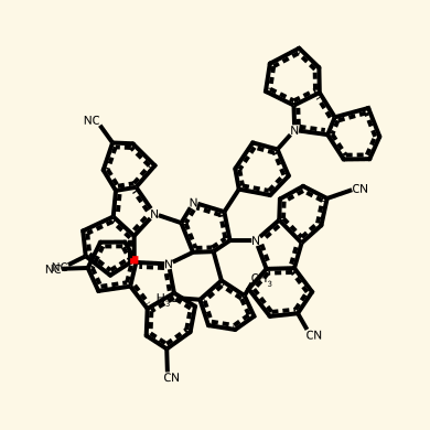 Cc1cccc(C)c1-c1c(-n2c3ccc(C#N)cc3c3cc(C#N)ccc32)c(-c2ccc(-n3c4ccccc4c4ccccc43)cc2)nc(-n2c3ccc(C#N)cc3c3cc(C#N)ccc32)c1-n1c2ccc(C#N)cc2c2cc(C#N)ccc21